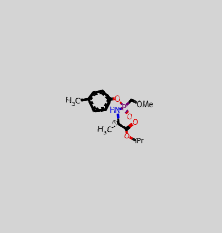 COCP(=O)(N[C@@H](C)C(=O)OC(C)C)Oc1ccc(C)cc1